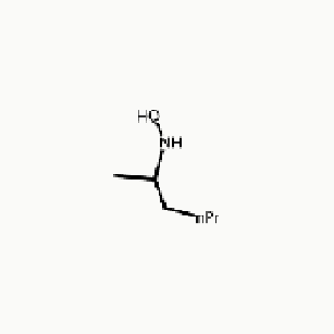 CCCCC(C)NO